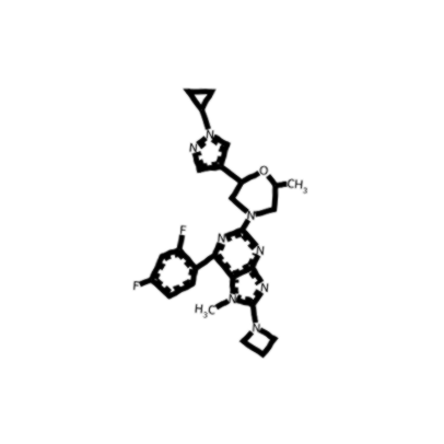 CC1CN(c2nc(-c3ccc(F)cc3F)c3c(n2)nc(N2CCC2)n3C)CC(c2cnn(C3CC3)c2)O1